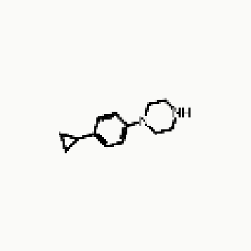 c1cc(N2CCNCC2)ccc1C1CC1